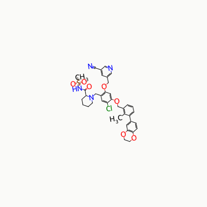 Cc1c(COc2cc(OCc3cncc(C#N)c3)c(CN3CCCCC3C(=O)NS(C)(=O)=O)cc2Cl)cccc1-c1ccc2c(c1)OCCO2